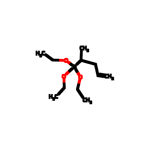 C=CCC(C)[Si](OCC)(OCC)OCC